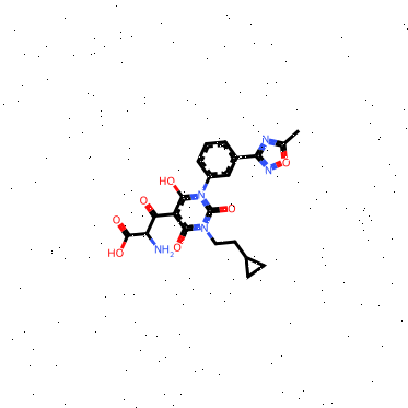 Cc1nc(-c2cccc(-n3c(O)c(C(=O)C(N)C(=O)O)c(=O)n(CCC4CC4)c3=O)c2)no1